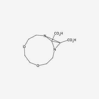 O=C(O)C12N3CCOCCOCCN1C32C(=O)O